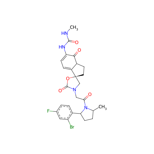 CNC(=O)NC1=CC=C2C(CC[C@]23CN(CC(=O)N2C(C)CCC2c2ccc(F)cc2Br)C(=O)O3)C1=O